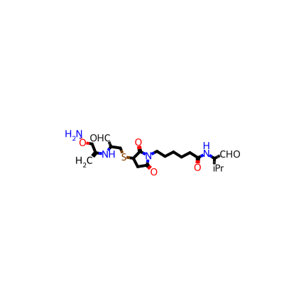 C=C(CON)NC(C=O)CSC1CC(=O)N(CCCCCC(=O)NC(C=O)C(C)C)C1=O